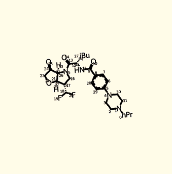 CCCN1CCN(c2ccc(C(=O)N[C@H](C(=O)N3C[C@H](C(F)F)[C@H]4OCC(=O)[C@H]43)[C@@H](C)CC)cc2)CC1